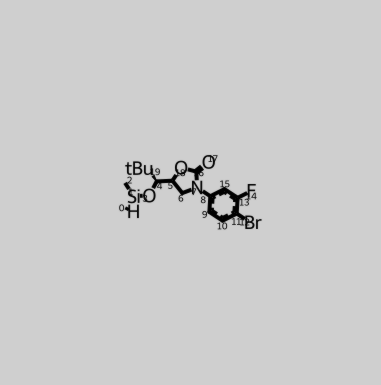 C[SiH](C)O[C@H](C1CN(c2ccc(Br)c(F)c2)C(=O)O1)C(C)(C)C